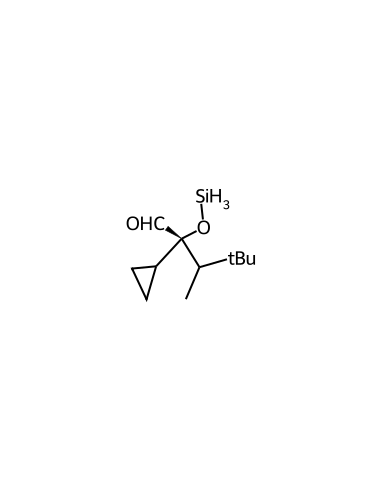 CC(C(C)(C)C)[C@@](C=O)(O[SiH3])C1CC1